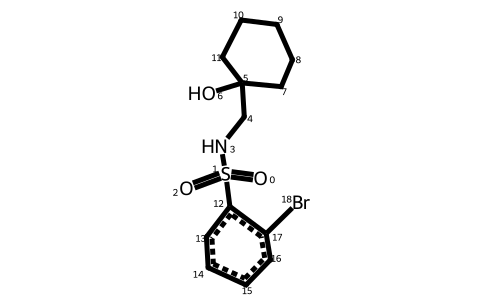 O=S(=O)(NCC1(O)CCCCC1)c1ccccc1Br